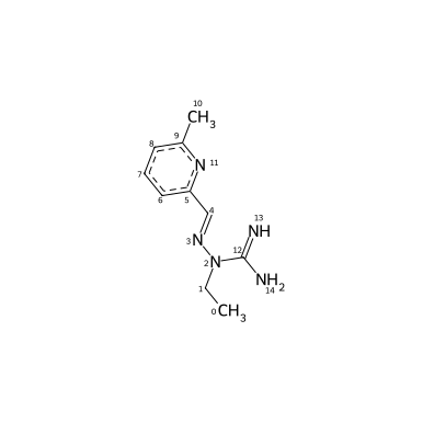 CCN(N=Cc1cccc(C)n1)C(=N)N